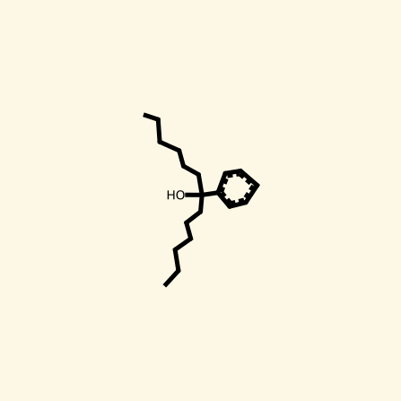 CCCCCCC(O)(CCCCCC)c1ccccc1